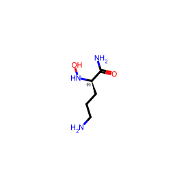 NCCC[C@@H](NO)C(N)=O